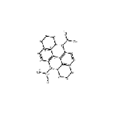 ClP(Cl)Oc1ccc2c(c1-c1c(OP(Cl)Cl)ccc3c1CCCC3)CCCC2